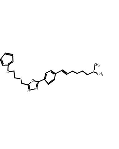 CN(C)CCCCC=Cc1ccc(-c2nnc(CSCCOc3ccccc3)o2)cc1